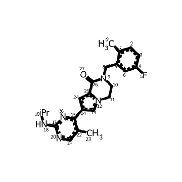 Cc1ccc(F)cc1CN1CCn2cc(-c3nc(NC(C)C)ncc3C)cc2C1=O